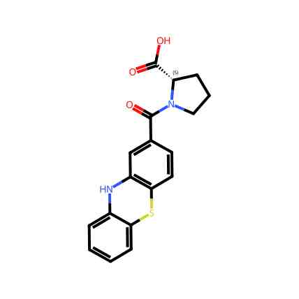 O=C(O)[C@@H]1CCCN1C(=O)c1ccc2c(c1)Nc1ccccc1S2